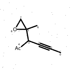 CC#CC(C(C)=O)C1(C)CO1